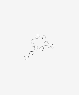 CC1(C)c2ccccc2-c2cc(-c3cccc(-c4cccc(-c5cccc(-c6nc(-c7ccccc7)nc(-c7ccc(-c8cccnc8)cc7)n6)c5)c4)c3)ccc21